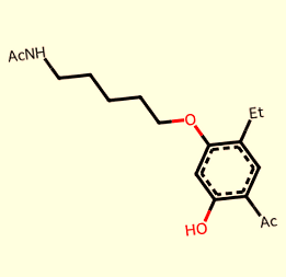 CCc1cc(C(C)=O)c(O)cc1OCCCCCNC(C)=O